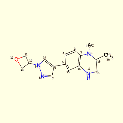 CC(=O)N1c2ccc(-c3cnn(C4COC4)c3)cc2NCC1C